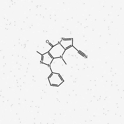 Cc1nn(-c2ccccc2)c2c1c(=O)n1ncc(C#N)c1n2C